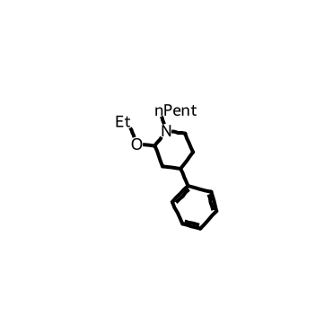 CCCCCN1CCC(c2ccccc2)CC1OCC